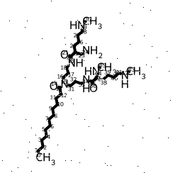 CCCCCCCCCCCCCC(=O)N(CCCNC(=O)C(CN)CCCCNC)CCCNC(=O)[C@@H](CCCCNC)NC